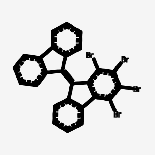 Brc1c(Br)c(Br)c2c(c1Br)C(=C1c3ccccc3-c3ccccc31)c1ccccc1-2